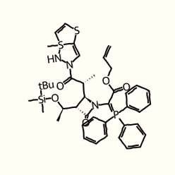 C=CCOC(=O)C(N1C(=O)[C@H]([C@@H](C)O[Si](C)(C)C(C)(C)C)[C@H]1[C@@H](C)C(=O)N1C=C2SC=CS2(C)N1)=P(c1ccccc1)(c1ccccc1)c1ccccc1